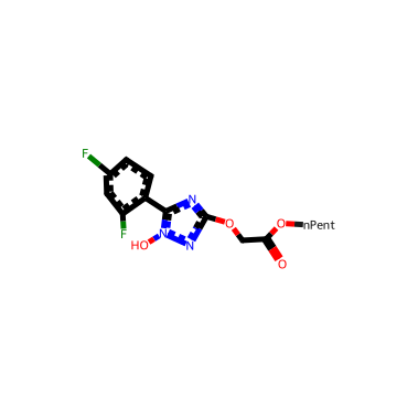 CCCCCOC(=O)COc1nc(-c2ccc(F)cc2F)n(O)n1